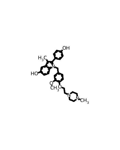 COc1cc(Cn2c(-c3ccc(O)cc3)c(C)c3cc(O)ccc32)ccc1OCCN1CCN(C)CC1